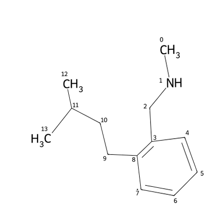 CNCc1ccc[c]c1CCC(C)C